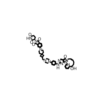 C[C@@]1(O)CC/C=C\Cn2c(=O)c3cnc(Nc4ccc(N5CCN(CC6CC7(CCN(c8ccc9c(c8)C(=O)N(C8CCC(=O)NC8=O)C9=O)CC7)C6)CC5)cc4)nc3n2-c2cccc1n2